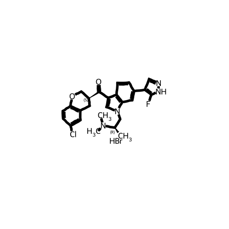 Br.C[C@H](Cn1cc(C(=O)[C@@H]2COc3ccc(Cl)cc3C2)c2ccc(-c3cn[nH]c3F)cc21)N(C)C